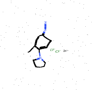 CC1=CC(=[N+]=[N-])CC=C1N1CCCC1.[Cl-].[Cl-].[Zn+2]